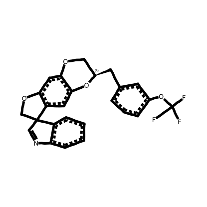 FC(F)(F)Oc1cccc(C[C@@H]2COc3cc4c(cc3O2)C2(C=Nc3ccccc32)CO4)c1